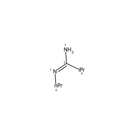 CCC/N=C(/N)C(C)C